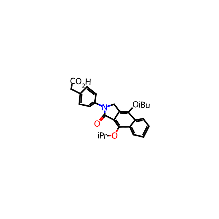 CC(C)COc1c2c(c(OC(C)C)c3ccccc13)C(=O)N(c1ccc(CC(=O)O)cc1)C2